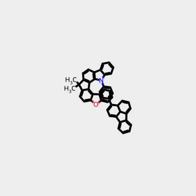 CC1(C)c2ccc3oc4ccccc4c3c2-c2c1ccc1c3ccccc3n(-c3ccc(C4=CC=C5c6ccccc6C6=CC=CC4C65)cc3)c21